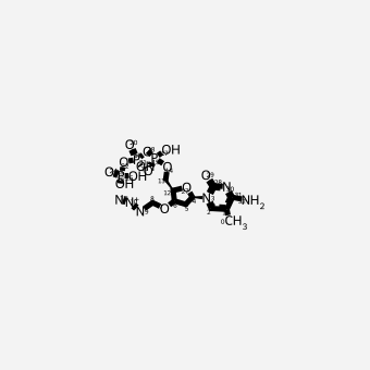 Cc1cn([C@H]2CC(OCN=[N+]=[N-])[C@@H](COP(=O)(O)OP(=O)(O)OP(=O)(O)O)O2)c(=O)nc1N